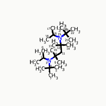 CC(C)N(C(C)(C)C)C(C)(C)CC(C)(C)N(C(C)C)C(C)(C)C